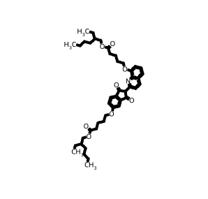 CCCCC(CC)COC(=O)CCCCOc1ccc2c(c1)C(=O)C(c1ccc3cccc(OCCCCC(=O)OCC(CC)CCCC)c3n1)C2=O